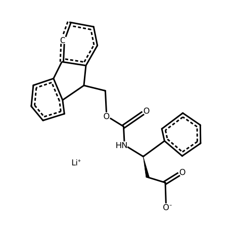 O=C([O-])C[C@@H](NC(=O)OCC1c2ccccc2-c2ccccc21)c1ccccc1.[Li+]